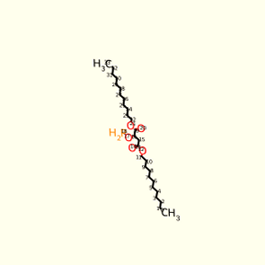 CCCCCCCCCCCCOC(=O)CC(OP)C(=O)OCCCCCCCCCCCC